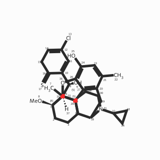 CO[C@]12CCC3(CC1(C)[C@H](O)C1=CC(Cl)=CCC1=S)C1Cc4c(C)cc(O)c5c4[C@@]3(CCN1C1CC1)[C@@H]2O5